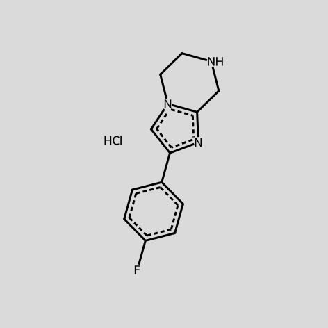 Cl.Fc1ccc(-c2cn3c(n2)CNCC3)cc1